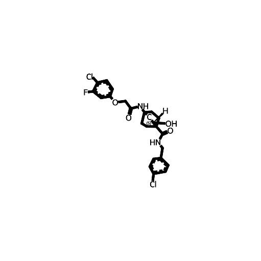 O=C(COc1ccc(Cl)c(F)c1)NC12CCC(C(=O)NCc3ccc(Cl)cc3)(CC1)[C@@H](O)C2